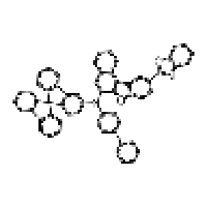 c1ccc(-c2ccc(N(c3ccc4c(c3)-c3ccccc3C43c4ccccc4-c4ccccc43)c3cc4ccccc4c4c3oc3ccc(-c5nc6ccccc6o5)cc34)cc2)cc1